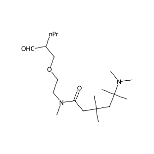 CCCC(C=O)COCCN(C)C(=O)CC(C)(C)CC(C)(C)N(C)C